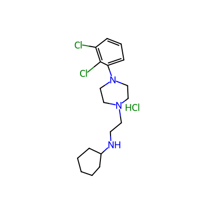 Cl.Clc1cccc(N2CCN(CCNC3CCCCC3)CC2)c1Cl